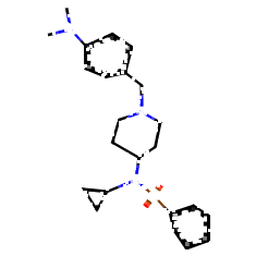 CN(C)c1ccc(CN2CCC(N(C3CC3)S(=O)(=O)c3ccccc3)CC2)cc1